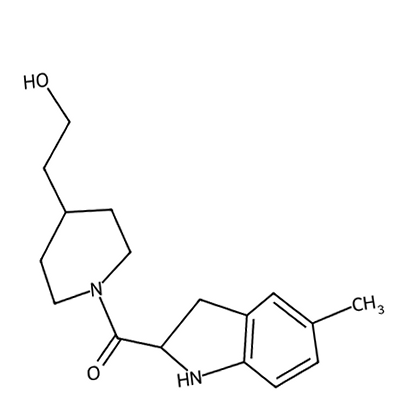 Cc1ccc2c(c1)CC(C(=O)N1CCC(CCO)CC1)N2